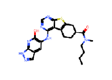 CCCCN(C)C(=O)[C@H]1CCc2c(sc3ncnc(Nc4cc5cn[nH]c5nc4O)c23)C1